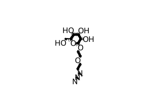 [N-]=[N+]=NCCOCCO[C@H]1O[C@@H](CO)[C@H](O)[C@@H](O)[C@@H]1O